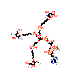 Cc1ncnc2c1ncn2[C@H]1C[C@H](OP(=O)(O)OCOCC(CO)COCOP(=O)(O)OCC(COCCCOP(=O)(O)OCCCCCCO[C@@H]2OC(CO)[C@H](O)C(O)[C@@H]2C)(COCCCOP(=O)(O)OCCCCCCO[C@@H]2OC(CO)[C@H](O)C(O)[C@@H]2N)COCOP(=O)(O)OCCCCCCO[C@@H]2OC(CO)[C@H](O)C(O)[C@@H]2N)[C@@H](COP(C)(=O)O)O1